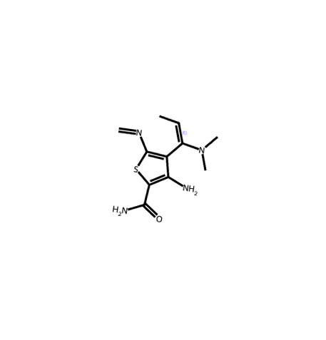 C=Nc1sc(C(N)=O)c(N)c1/C(=C\C)N(C)C